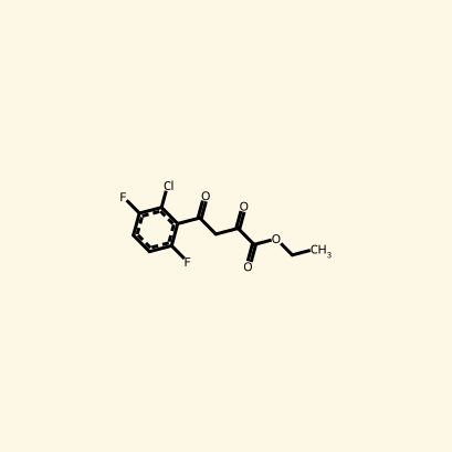 CCOC(=O)C(=O)CC(=O)c1c(F)ccc(F)c1Cl